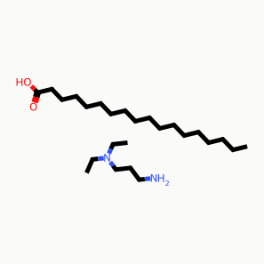 CCCCCCCCCCCCCCCCCC(=O)O.CCN(CC)CCCN